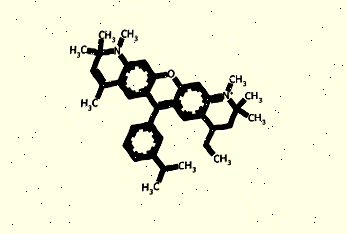 CCC1CC(C)(C)[N+](C)=c2cc3c(cc21)=C(c1cccc(C(C)C)c1)c1cc2c(cc1O3)N(C)C(C)(C)C=C2C